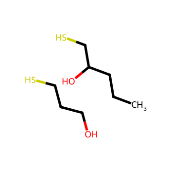 CCCC(O)CS.OCCCS